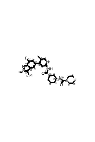 Cc1cnc(NC(=O)[C@H]2CCC[C@@H](NC(=O)N3CCOCC3)C2)cc1-c1cc(F)c2nn(C)c(C(C)C)c2c1